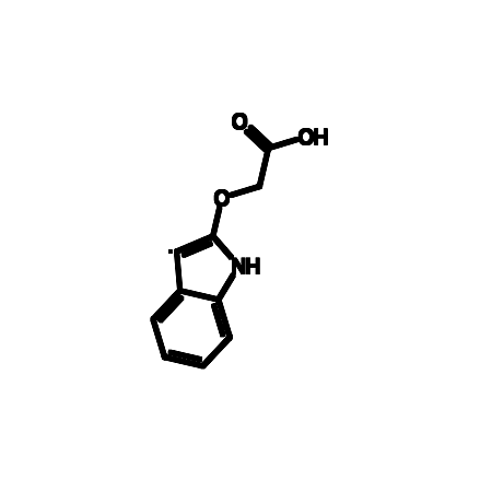 O=C(O)COc1[c]c2ccccc2[nH]1